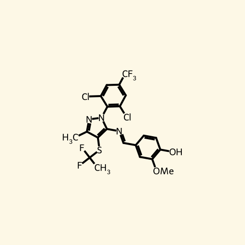 COc1cc(/C=N/c2c(SC(C)(F)F)c(C)nn2-c2c(Cl)cc(C(F)(F)F)cc2Cl)ccc1O